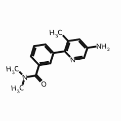 Cc1cc(N)cnc1-c1cccc(C(=O)N(C)C)c1